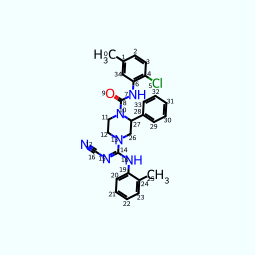 Cc1ccc(Cl)c(NC(=O)N2CCN(/C(=N\C#N)Nc3ccccc3C)CC2c2ccccc2)c1